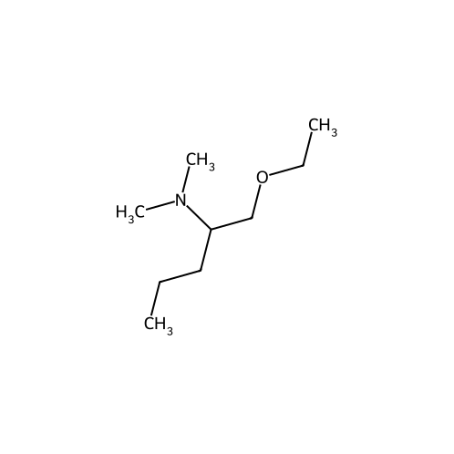 CCCC(COCC)N(C)C